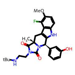 COc1ccc2[nH]c3c(c2c1F)C[C@@]1(C)C(=O)N(CCNC(C)(C)C)C(=O)N1[C@@H]3c1cccc(O)c1